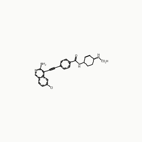 Nc1ncc2ccc(Cl)cc2c1C#Cc1ccc(C(=O)NC2CCC(NC(=O)O)CC2)cc1